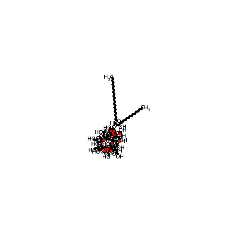 CCCCCCCCCCCCC/C=C/[C@@H](O)[C@H](CO[C@@H]1OC(CO)[C@@H](O[C@@H]2OC(CO)[C@H](O[C@@H]3OC(CO)[C@H](O)[C@H](O[C@@H]4OC(CO)[C@H](O)[C@H](O[C@@H]5OC(CO)[C@H](O)[C@H](O[C@]6(C(=O)O)CC(O)[C@@H](NC(=O)CO)C([C@H](O)[C@@H](CO)O[C@]7(C(=O)O)CC(O)[C@@H](NC(=O)CO)C([C@H](O)[C@H](O)CO)O7)O6)C5O)C4NC(C)=O)C3O)[C@H](O)C2O)[C@H](O)C1O)NC(=O)CCCCCCCCCCCCCCCCCCCCCCC